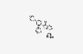 O=C(Nc1ccc(N2CCOCC2)cc1N1CCOCC1)c1cccc(-c2cn[nH]c2)n1